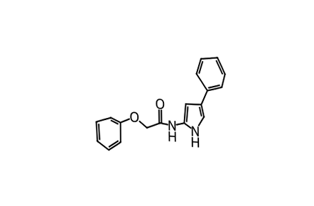 O=C(COc1ccccc1)Nc1cc(-c2ccccc2)c[nH]1